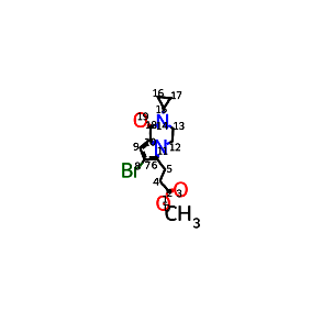 COC(=O)CCc1c(Br)cc2n1CCN(C1CC1)C2=O